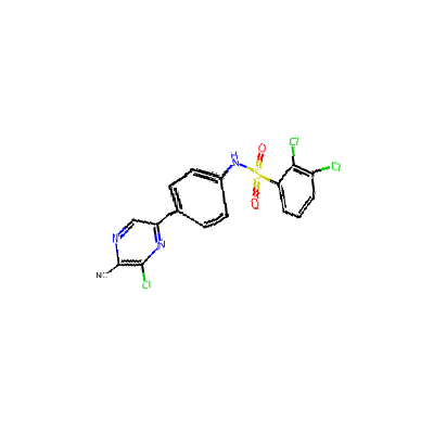 N#Cc1ncc(-c2ccc(NS(=O)(=O)c3cccc(Cl)c3Cl)cc2)nc1Cl